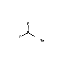 FP(F)F.[Na]